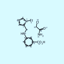 CCn1cncc1CNc1cccc(C(=O)O)c1.NC(=O)CCl